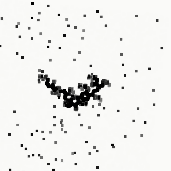 C=C/C=C\C(F)=C(/C)OC/C=C(/C)Cn1ncc(C(=O)c2cc3cc(OC)c(C(C)CCN(CC)C(=O)CN)cc3[nH]2)c1N